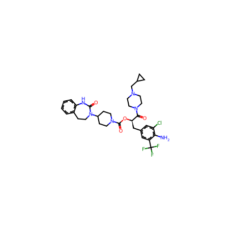 Nc1c(Cl)cc(C[C@@H](OC(=O)N2CCC(N3CCc4ccccc4NC3=O)CC2)C(=O)N2CCN(CC3CC3)CC2)cc1C(F)(F)F